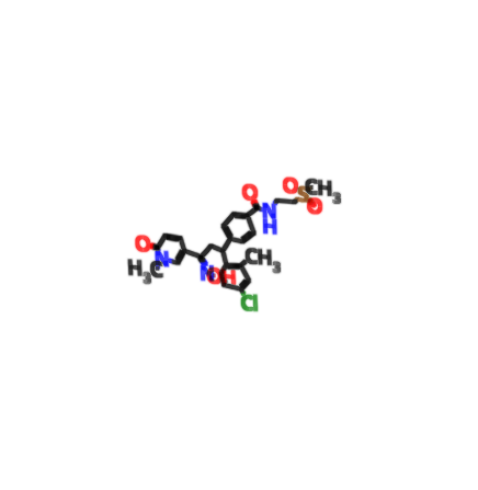 Cc1cc(Cl)ccc1C(C/C(=N\O)c1ccc(=O)n(C)c1)c1ccc(C(=O)NCCS(C)(=O)=O)cc1